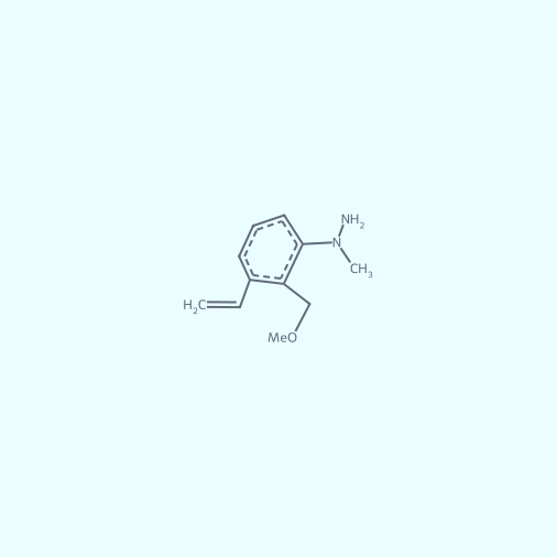 C=Cc1cccc(N(C)N)c1COC